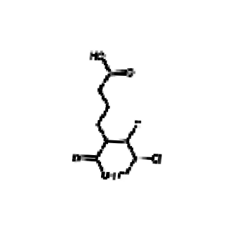 O=C(O)CCCC(C(=O)O)C(Cl)C(Cl)Cl